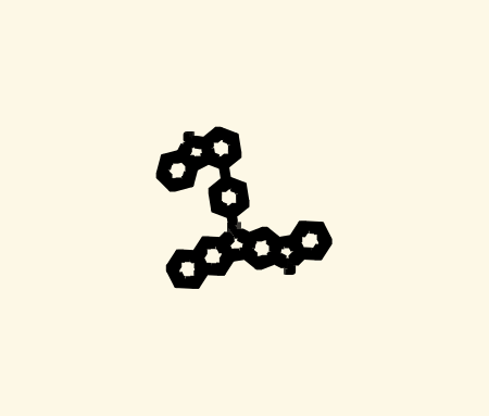 c1ccc2cc3c(cc2c1)c1cc2sc4ccccc4c2cc1n3-c1ccc(-c2cccc3sc4ccccc4c23)cc1